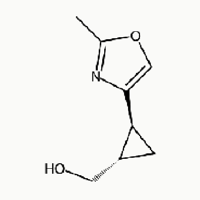 Cc1nc([C@H]2C[C@@H]2CO)co1